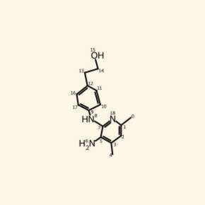 Cc1cc(C)c(N)c(Nc2ccc(CCO)cc2)n1